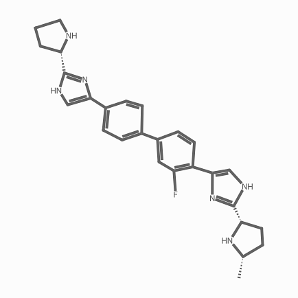 C[C@H]1CC[C@@H](c2nc(-c3ccc(-c4ccc(-c5c[nH]c([C@@H]6CCCN6)n5)cc4)cc3F)c[nH]2)N1